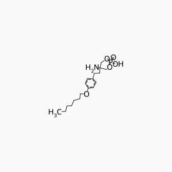 CCCCCCCOc1ccc(CCC2(N)COP(=O)(O)OC2)cc1